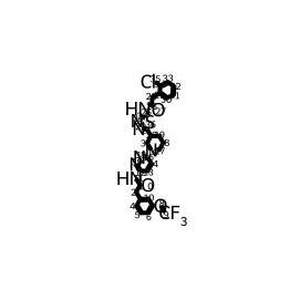 O=C(Cc1cccc(OC(F)(F)F)c1)Nc1ccc(N2CCCC(c3nnc(NC(=O)Cc4ccccc4Cl)s3)C2)nn1